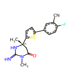 CN1C(=N)N[C@](C)(c2ccc(-c3ccc(F)c(C#N)c3)s2)CC1=O